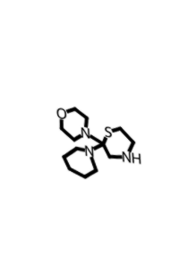 C1CCN(C2(N3CCOCC3)CNCCS2)CC1